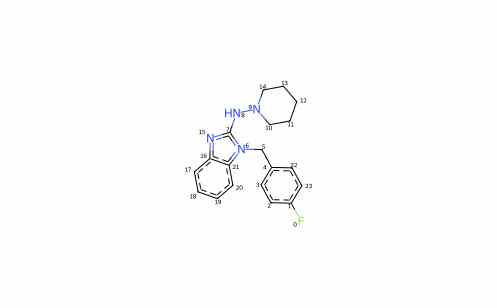 Fc1ccc(Cn2c(NN3CCCCC3)nc3ccccc32)cc1